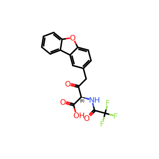 O=C(O)[C@H](NC(=O)C(F)(F)F)C(=O)Cc1ccc2oc3ccccc3c2c1